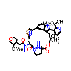 CCn1c(-c2cccnc2[C@H](C)OC)c2c3cc(ccc31)-c1csc(n1)C[C@H](NC(=O)CC1CCOCC1OC)C(=O)N1CCC[C@H](N1)C(=O)OCC(C)(C)C2